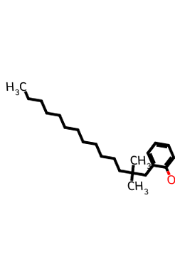 CCCCCCCCCCCCC(C)(C)Cc1ccccc1O